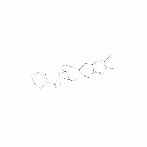 Cc1nc2cc3c(cc2nc1C)[C@]1(C)CCN(C(=O)N2CCCCC2)[C@H](C3)C1(C)C